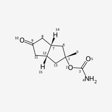 C[C@]1(OC(N)=O)C[C@H]2CC(=O)C[C@H]2C1